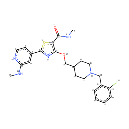 CNC(=O)c1sc(-c2ccnc(NC)c2)nc1OCC1CCN(Cc2ccccc2F)CC1